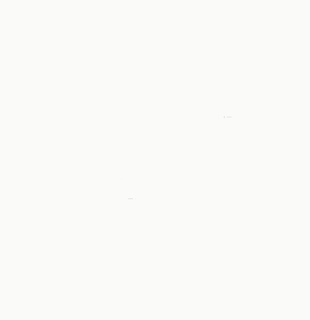 CS(=O)(=O)O.Cc1ccc(C(C)CO)cc1